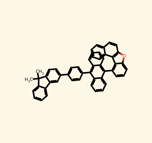 CC1(C)c2ccccc2-c2cc(-c3ccc(-c4c5ccccc5c(-c5cccc6oc7ccc8ccccc8c7c56)c5ccccc45)cc3)ccc21